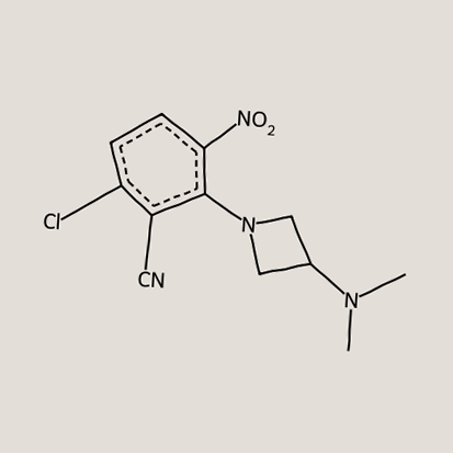 CN(C)C1CN(c2c([N+](=O)[O-])ccc(Cl)c2C#N)C1